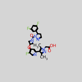 Cc1nn(CC(=O)O)c(C)c1-c1cc(OC2CN(C(=O)N3N=CCC3c3cc(F)cc(F)c3)C2)c(F)cn1